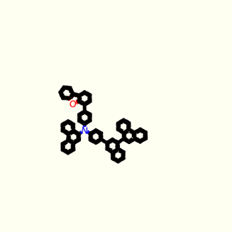 c1ccc2c(-c3cc4ccccc4c4ccccc34)cc(-c3ccc(N(c4ccc(-c5cccc6c5oc5ccccc56)cc4)c4cc5ccccc5c5ccccc45)cc3)cc2c1